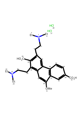 CCN(CC)CCc1cc2c(cc(OC)c3cc(C(=O)O)ccc32)c(CCN(CC)CC)c1C(=O)O.Cl.Cl